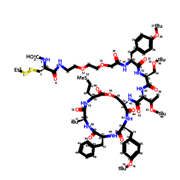 CCSSC[C@H](NC(=O)O)C(=O)NCCOCCOCC(=O)N[C@@H](Cc1ccc(OC(C)(C)C)cc1)C(=O)N[C@@H](COC(C)(C)C)C(=O)N[C@H](C(=O)N[C@H]1COC(=O)[C@H](CCSC)NC(=O)[C@H](C(C)CC)NC(=O)[C@H](Cc2ccccc2)NC(=O)[C@H](Cc2ccc(OC(C)(C)C)cc2)NC1=O)C(C)OC(C)(C)C